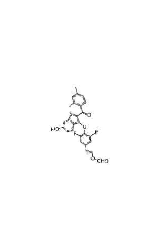 Cc1ccc(C(=O)c2sc3cc(O)ccc3c2Oc2c(F)cc(/C=C/OC=O)cc2F)c(C)c1